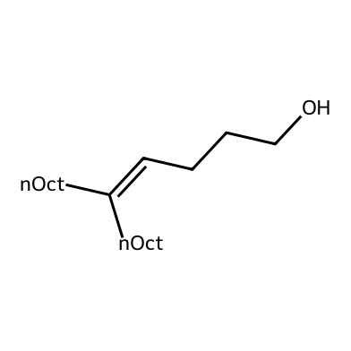 CCCCCCCCC(=CCCCO)CCCCCCCC